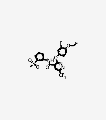 CS(=O)(=O)c1cccc(NC(=O)c2cc(C(F)(F)F)nnc2Oc2ccc(OCF)c(F)c2)c1